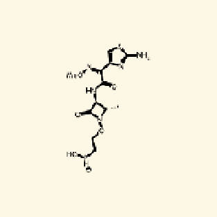 CO/N=C(\C(=O)N[C@@H]1C(=O)N(OCC[PH](=O)O)[C@H]1C)c1csc(N)n1